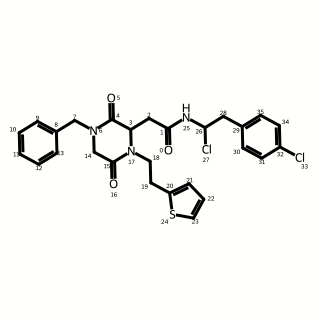 O=C(CC1C(=O)N(Cc2ccccc2)CC(=O)N1CCc1cccs1)NC(Cl)Cc1ccc(Cl)cc1